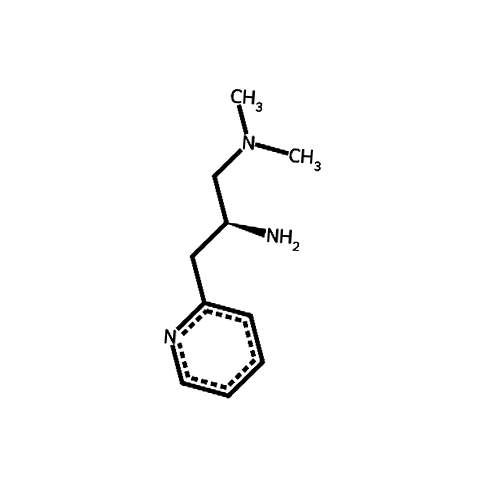 CN(C)C[C@@H](N)Cc1ccccn1